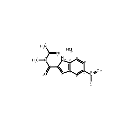 CN(C(=N)N)C(=O)c1cc2cc([N+](=O)[O-])ccc2[nH]1.Cl